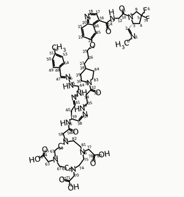 C/N=C/[C@H]1CC(F)(F)CN1C(=O)CNC(=O)c1ccnc2ccc(OCCCC3CCN(C(=O)CCN/N=C\[C@H](C/C=N/NCN/N=C/c4ccc(C)cc4)NC(=O)CN4CCN(CC(=O)O)CCN(CC(=O)O)CCN(CC(=O)O)CC4)CC3)cc12